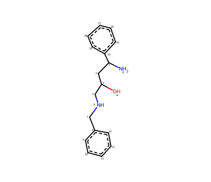 NC(CC(O)CNCc1ccccc1)c1ccccc1